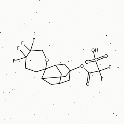 O=C(OC12CC3CC(C1)C1(CCC(F)(F)C(F)(F)CO1)C(C3)C2)C(F)(F)S(=O)(=O)O